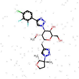 CO[C@@H]1[C@@H](n2cc(-c3ccc(Cl)c(F)c3F)nn2)[C@@H](O)[C@@H](CO)O[C@@H]1Cc1cn([C@]2(C)CCO[C@@H]2C)nn1